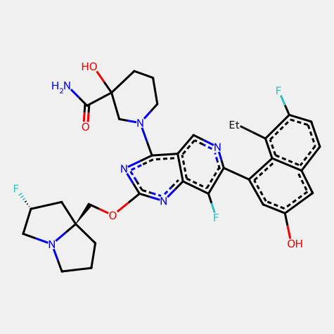 CCc1c(F)ccc2cc(O)cc(-c3ncc4c(N5CCCC(O)(C(N)=O)C5)nc(OC[C@@]56CCCN5C[C@H](F)C6)nc4c3F)c12